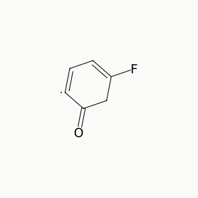 O=C1[C]=CC=C(F)C1